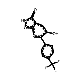 O=c1[nH]oc2nc(-c3ccc(C(F)(F)F)cc3)c(O)cc12